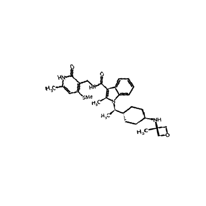 CSc1cc(C)[nH]c(=O)c1CNC(=O)c1c(C)n([C@H](C)[C@H]2CC[C@H](NC3(C)COC3)CC2)c2ccccc12